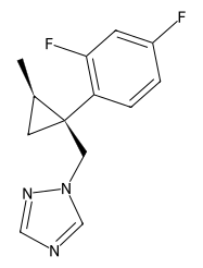 C[C@@H]1C[C@@]1(Cn1cncn1)c1ccc(F)cc1F